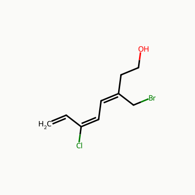 C=C/C(Cl)=C\C=C(/CBr)CCO